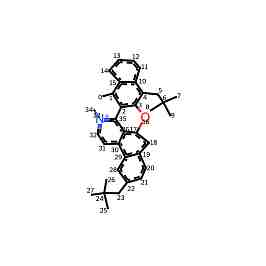 Cc1c2c(c(CC(C)(C)C)c3ccccc13)Oc1cc3ccc(CC(C)(C)C)cc3c3cc[n+](C)c-2c13